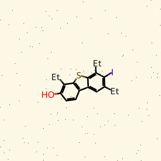 CCc1cc2c(sc3c(CC)c(O)ccc32)c(CC)c1I